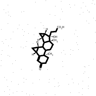 C[C@]12CCC(=O)C=C1[C@@H]1C[C@@H]1C1C2CC[C@@]2(C)C1[C@@H]1C[C@@H]1[C@@]2(O)CCC(=O)O